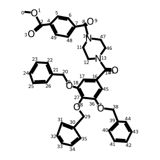 COC(=O)c1ccc(C(=O)N2CCN(C(=O)c3cc(OCc4ccccc4)c(OCc4ccccc4)c(OCc4ccccc4)c3)CC2)cc1